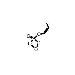 C/C=C\OP1(=O)OOO1